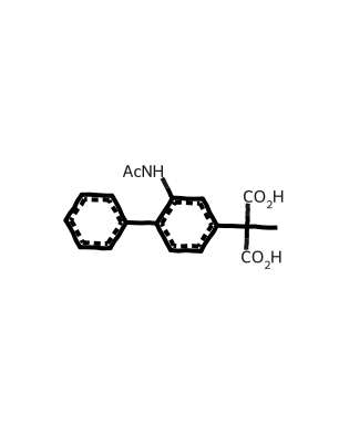 CC(=O)Nc1cc(C(C)(C(=O)O)C(=O)O)ccc1-c1ccccc1